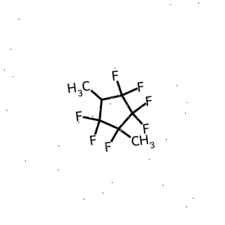 CC1C(F)(F)C(C)(F)C(F)(F)C1(F)F